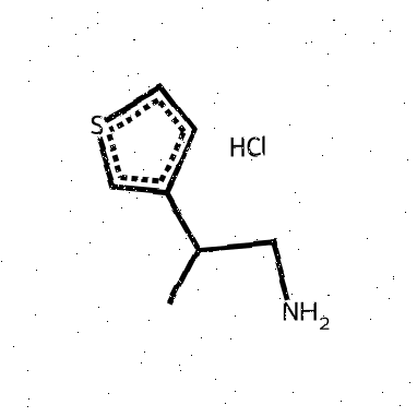 CC(CN)c1ccsc1.Cl